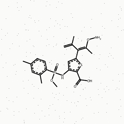 C=C(C)/C(=C(/C)ON)c1cc(NP(=O)(OC)c2ccc(C)cc2C)c(C(=O)O)s1